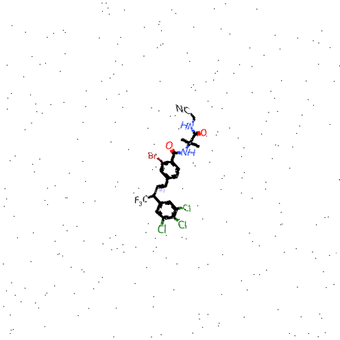 CC(C)(NC(=O)c1ccc(/C=C/C(c2cc(Cl)c(Cl)c(Cl)c2)C(F)(F)F)cc1Br)C(=O)NCC#N